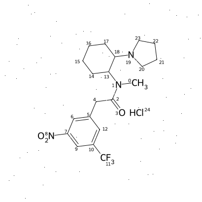 CN(C(=O)Cc1cc([N+](=O)[O-])cc(C(F)(F)F)c1)C1CCCCC1N1CCCC1.Cl